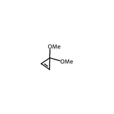 COC1(OC)C=C1